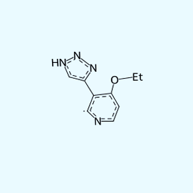 CCOc1ccn[c]c1-c1c[nH]nn1